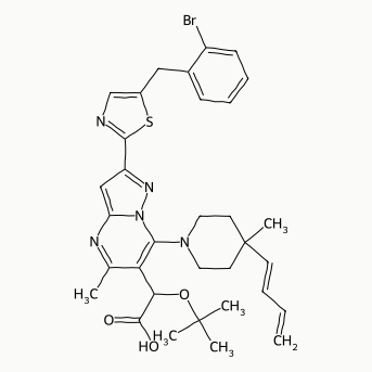 C=CC=CC1(C)CCN(c2c(C(OC(C)(C)C)C(=O)O)c(C)nc3cc(-c4ncc(Cc5ccccc5Br)s4)nn23)CC1